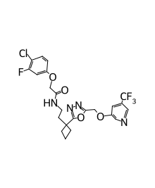 O=C(COc1ccc(Cl)c(F)c1)NCCC1(c2nnc(COc3cncc(C(F)(F)F)c3)o2)CCC1